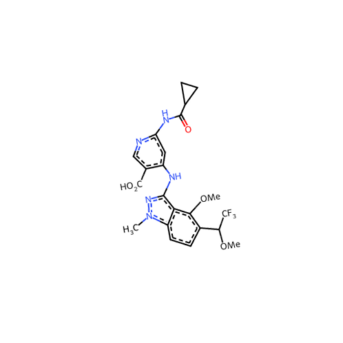 COc1c(C(OC)C(F)(F)F)ccc2c1c(Nc1cc(NC(=O)C3CC3)ncc1C(=O)O)nn2C